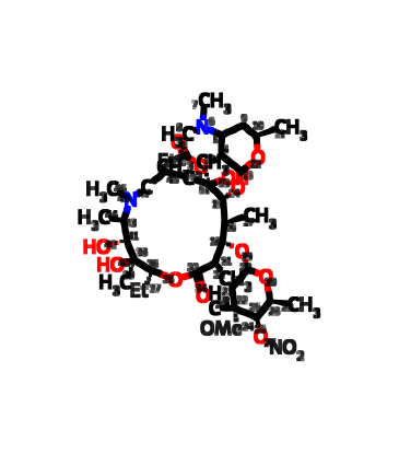 CCC(=O)O[C@@H]1C(N(C)C)C[C@@H](C)O[C@H]1O[C@@H]1[C@@H](C)[C@H](O[C@H]2C[C@@](C)(OC)[C@@H](O[N+](=O)[O-])[C@H](C)O2)[C@@H](C)C(=O)O[C@H](CC)[C@@](C)(O)[C@H](O)[C@@H](C)N(C)C[C@H](C)C[C@@]1(C)O